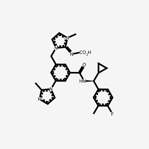 Cc1cc([C@@H](NC(=O)c2cc(Cn3ccn(C)c3=NC(=O)O)cc(-n3ccnc3C)c2)C2CC2)ccc1F